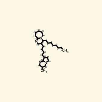 CCCCCCCCC1C(CCCCC2CCN3CC(C)CN=C23)CN=C2CCCCCN21